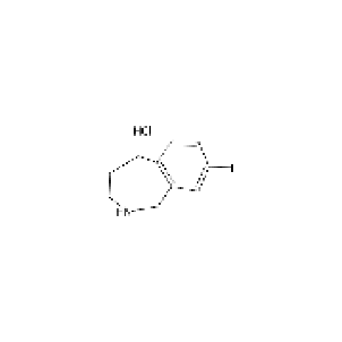 Cl.Ic1ccc2c(c1)CNCCC2